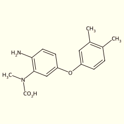 Cc1ccc(Oc2ccc(N)c(N(C)C(=O)O)c2)cc1C